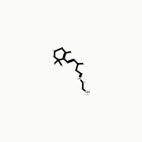 CC1=C(/C=C/C(C)C/C=N/CCO)C(C)(C)CCC1